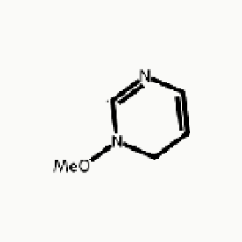 CON1[C]=NC=CC1